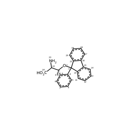 CCC(OC1(c2ccccc2)c2ccccc2-c2ccccc21)C(N)C(=O)O